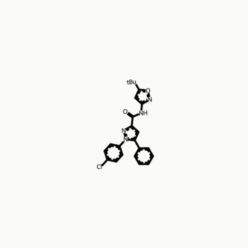 CC(C)(C)c1cc(NC(=O)c2cc(-c3ccccc3)n(-c3ccc(Cl)cc3)n2)no1